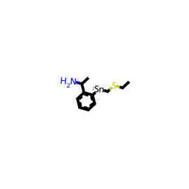 CCS[CH2][Sn][c]1ccccc1C(C)N